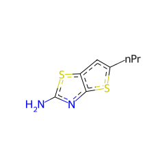 CCCc1cc2sc(N)nc2s1